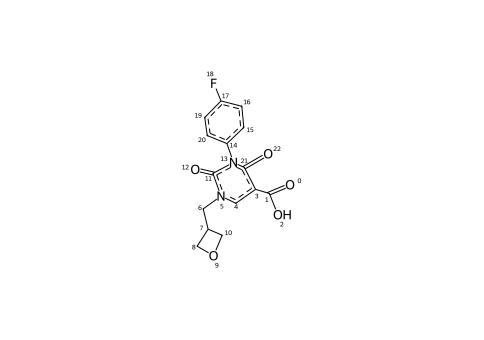 O=C(O)c1cn(CC2COC2)c(=O)n(-c2ccc(F)cc2)c1=O